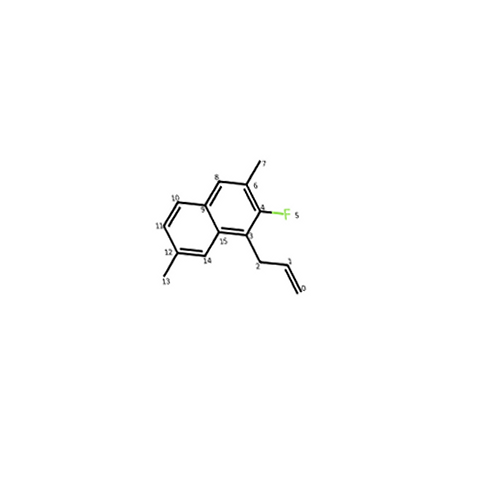 C=CCc1c(F)c(C)cc2ccc(C)cc12